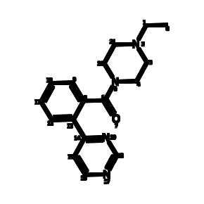 CCN1CCN(C(=O)c2ccccc2-c2ccncn2)CC1